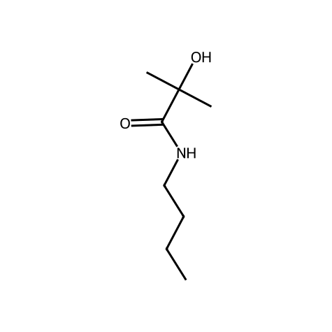 CCCCNC(=O)C(C)(C)O